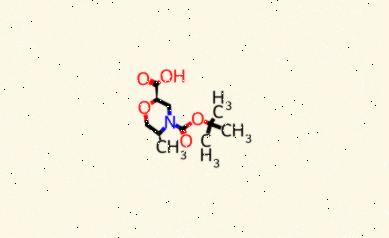 C[C@@H]1CO[C@@H](C(=O)O)CN1C(=O)OC(C)(C)C